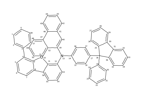 c1ccc(-c2cccc3c2oc2c(N(c4ccc(C5(c6ccccc6)c6ccccc6-c6ccccc65)cc4)c4cc5ccccc5c5ccccc45)cccc23)cc1